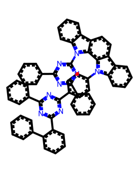 c1ccc(-c2nc(-c3ccc(-n4c5ccccc5c5ccc6c7ccccc7n(-c7nc(-c8ccccc8)nc(-c8ccccc8)n7)c6c54)cc3)nc(-c3ccccc3-c3ccccc3)n2)cc1